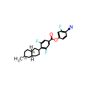 C[C@H]1CC[C@@H]2CC(c3c(F)cc(C(=O)Oc4ccc(C#N)c(F)c4)cc3F)CC[C@H]2C1